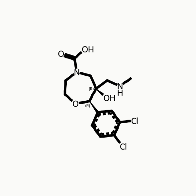 CNC[C@@]1(O)CN(C(=O)O)CCO[C@@H]1c1ccc(Cl)c(Cl)c1